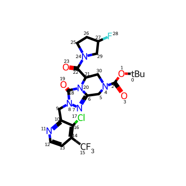 CC(C)(C)OC(=O)N1Cc2nn(Cc3nccc(C(F)(F)F)c3Cl)c(=O)n2C(C(=O)N2CCC(F)C2)C1